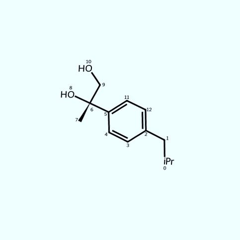 CC(C)Cc1ccc([C@](C)(O)CO)cc1